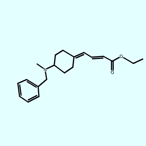 CCOC(=O)C=CC=C1CCC(N(C)Cc2ccccc2)CC1